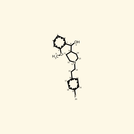 COc1[c]cccc1C(O)C1CCN(CCc2ccc(F)cc2)CC1